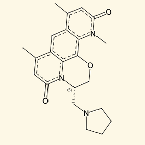 Cc1cc(=O)n(C)c2c3c4c(cc12)c(C)cc(=O)n4[C@@H](CN1CCCC1)CO3